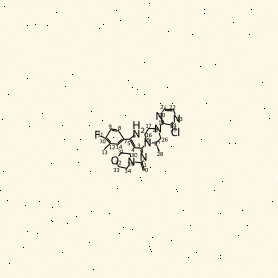 C=C(/N=C(\C=C(/N)c1ccc(F)c(C)c1)N1CCN(c2nccnc2Cl)C[C@H]1C)N1CCOCC1